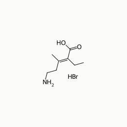 Br.CCC(C(=O)O)=C(C)CCN